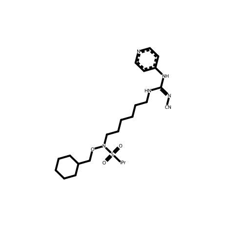 CC(C)S(=O)(=O)N(CCCCCCN/C(=N\C#N)Nc1ccncc1)OCC1CCCCC1